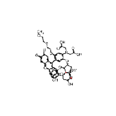 COCCOCCOc1cc(N(CC(=O)O)CC(=O)O)c(OC2CCCC2Oc2ccccc2N(CC(=O)O)CC(=O)O)cc1-c1c2cc(Cl)c(=O)cc-2oc2cc(O)c(Cl)cc12